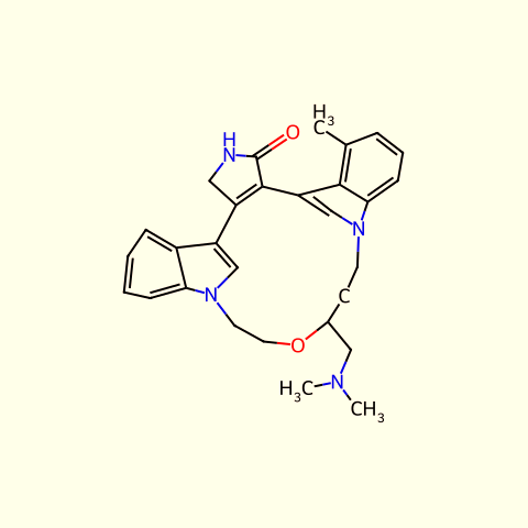 Cc1cccc2c1c1cn2CCC(CN(C)C)OCCn2cc(c3ccccc32)C2=C1C(=O)NC2